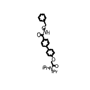 CC(C)N(C(=O)COc1ccc(-c2ccc(C(=O)NOCc3ccccc3)cc2)cc1)C(C)C